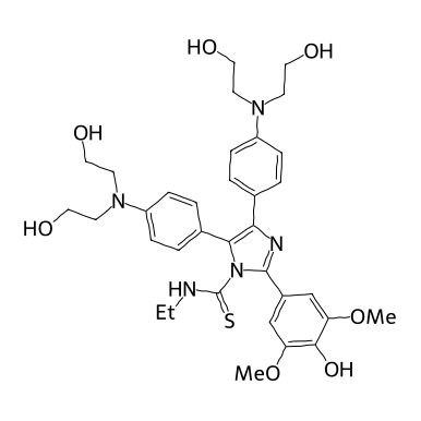 CCNC(=S)n1c(-c2cc(OC)c(O)c(OC)c2)nc(-c2ccc(N(CCO)CCO)cc2)c1-c1ccc(N(CCO)CCO)cc1